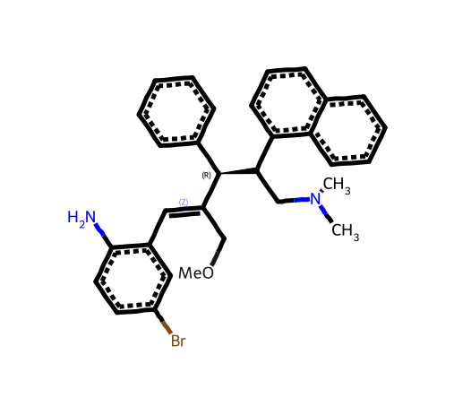 COC/C(=C\c1cc(Br)ccc1N)[C@@H](c1ccccc1)C(CN(C)C)c1cccc2ccccc12